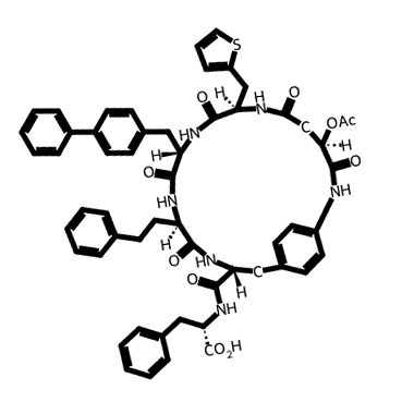 CC(=O)O[C@@H]1CC(=O)N[C@H](Cc2cccs2)C(=O)N[C@@H](Cc2ccc(-c3ccccc3)cc2)C(=O)N[C@H](CCc2ccccc2)C(=O)N[C@@H](C(=O)N[C@@H](Cc2ccccc2)C(=O)O)Cc2ccc(cc2)NC1=O